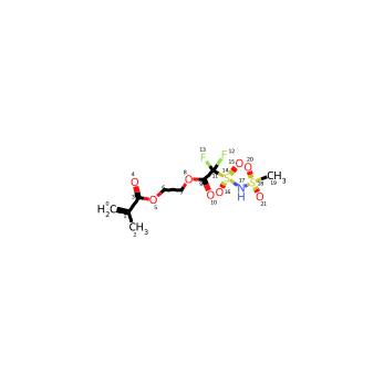 C=C(C)C(=O)OCCOC(=O)C(F)(F)S(=O)(=O)NS(C)(=O)=O